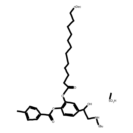 CCCCCCCCCCCCCCCCCCCCCC(=O)Oc1cc(C(O)CNC(C)(C)C)ccc1OC(=O)c1ccc(C)cc1.CS(=O)(=O)O